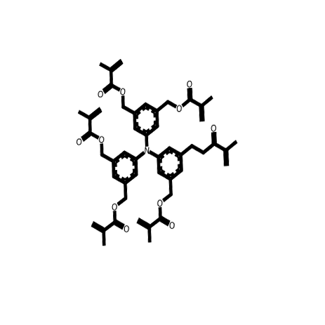 C=C(C)C(=O)CCc1cc(COC(=O)C(=C)C)cc(N(c2cc(COC(=O)C(=C)C)cc(COC(=O)C(=C)C)c2)c2cc(COC(=O)C(=C)C)cc(COC(=O)C(=C)C)c2)c1